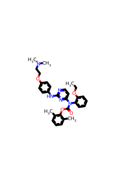 CCOc1ccccc1N(C(=O)Oc1c(C)cccc1C)c1ccnc(Nc2ccc(OCCN(C)C)cc2)n1